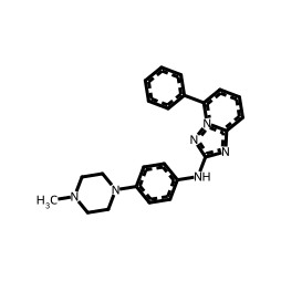 CN1CCN(c2ccc(Nc3nc4cccc(-c5ccccc5)n4n3)cc2)CC1